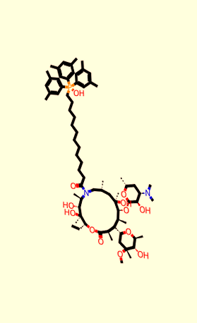 CC[C@H]1OC(=O)[C@H](C)C([C@H]2C[C@@](C)(OC)[C@@H](O)[C@H](C)O2)[C@H](C)[C@@H](O[C@@H]2O[C@H](C)C[C@H](N(C)C)[C@H]2O)[C@](C)(O)C[C@@H](C)CN(C(=O)CCCCCCCCCCCCP(O)(c2cc(C)cc(C)c2)(c2cc(C)cc(C)c2)c2cc(C)cc(C)c2)[C@H](C)[C@@H](O)[C@]1(C)O